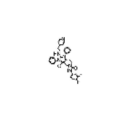 O=C(Nc1ccc(F)c(F)c1)N1CCc2nc(NC(Cc3ccncc3)c3ccccc3)n(-c3ccccc3)c(=O)c2C1